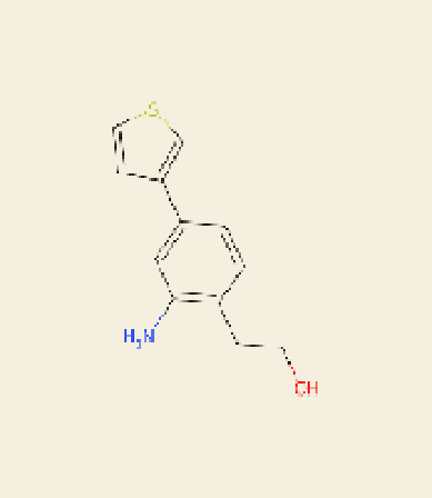 Nc1cc(-c2ccsc2)ccc1CCO